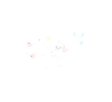 CCC1(C(=O)CCC(F)(F)F)CSc2cc(OC)c(OC)cc2C(c2ccccc2)N1